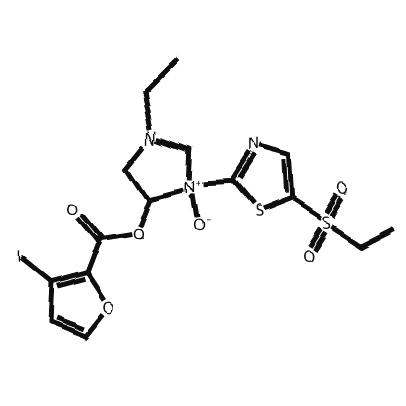 CCN1CC(OC(=O)c2occc2I)[N+]([O-])(c2ncc(S(=O)(=O)CC)s2)C1